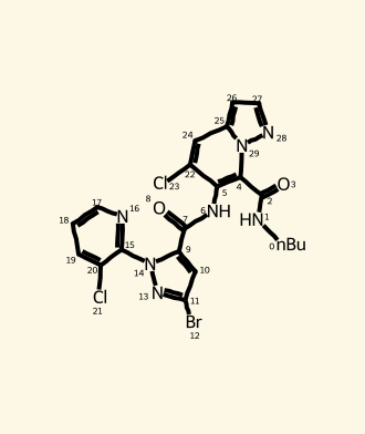 CCCCNC(=O)c1c(NC(=O)c2cc(Br)nn2-c2ncccc2Cl)c(Cl)cc2ccnn12